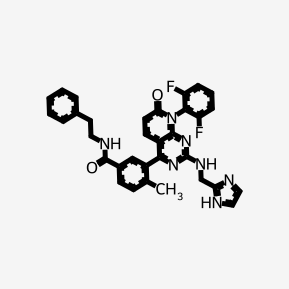 Cc1ccc(C(=O)NCCc2ccccc2)cc1-c1nc(NCc2ncc[nH]2)nc2c1ccc(=O)n2-c1c(F)cccc1F